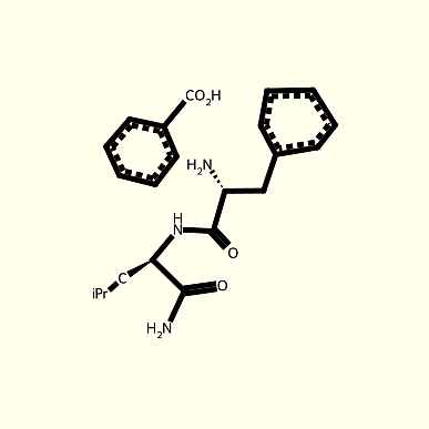 CC(C)C[C@@H](NC(=O)[C@H](N)Cc1ccccc1)C(N)=O.O=C(O)c1ccccc1